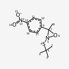 CC(C)(C)SN1OC1(C)c1ccc([N+](=O)[O-])cc1